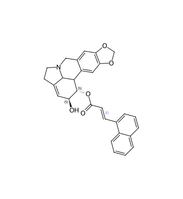 O=C(/C=C/c1cccc2ccccc12)O[C@H]1C2c3cc4c(cc3CN3CCC(=C[C@@H]1O)C23)OCO4